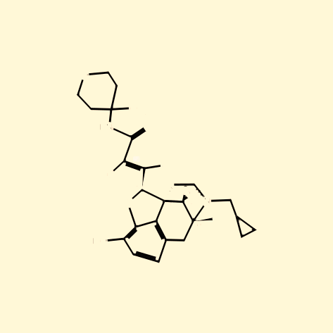 C/C(C(=O)NC1(C(=O)O)CCOCC1)=C(/O)[C@@H]1Oc2c(O)ccc3c2[C@@]12CCN(CC1CC1)[C@H](C3)[C@@]2(C)O